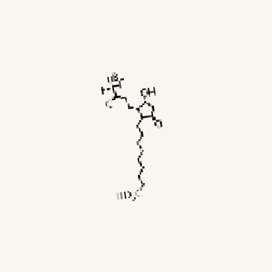 CCCCC(F)(F)C(=O)CC[C@@H]1C(CCCCCCCCC(=O)O)C(=O)C[C@H]1O